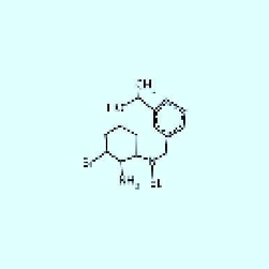 CCN(Cc1cccc(C(C)O)c1)C1CCCC(Br)C1N